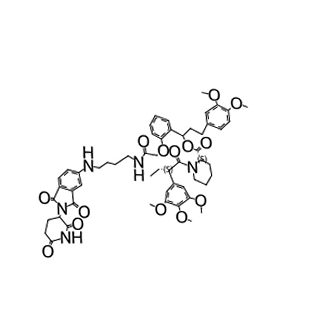 CC[C@H](C(=O)N1CCCC[C@H]1C(=O)OC(CCc1ccc(OC)c(OC)c1)c1ccccc1OCC(=O)NCCCCNc1ccc2c(c1)C(=O)N(C1CCC(=O)NC1=O)C2=O)c1cc(OC)c(OC)c(OC)c1